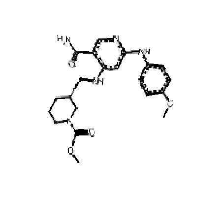 COC(=O)N1CCC[C@@H](CNc2cc(Nc3ccc(OC)cc3)ncc2C(N)=O)C1